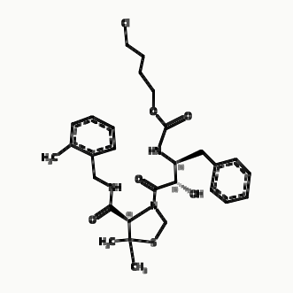 Cc1ccccc1CNC(=O)[C@H]1N(C(=O)[C@@H](O)[C@H](Cc2ccccc2)NC(=O)OCCCCCl)CSC1(C)C